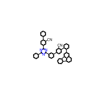 N#Cc1cc(-c2nc(-c3ccccc3)nc(-c3cccc(-c4ccc(-c5ccccc5-c5cc6c7c(cccc7c5)-c5ccccc5-6)c(C#N)c4)c3)n2)ccc1-c1ccccc1